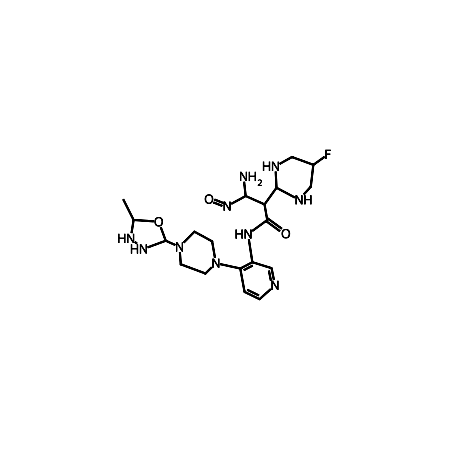 CC1NNC(N2CCN(c3ccncc3NC(=O)C(C(N)N=O)C3NCC(F)CN3)CC2)O1